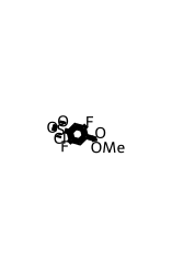 COC(=O)c1cc(F)c(S(=O)(=O)Cl)cc1F